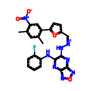 Cc1cc(C)c([N+](=O)[O-])cc1-c1ccc(/C=N\Nc2nc3nonc3nc2Nc2ccccc2F)o1